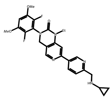 CCN1C(=O)N(c2c(F)c(OC)cc(OC)c2F)Cc2cnc(-c3ccc(CNC4CC4)nc3)cc21